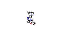 N#CC1=CC(n2c3ccccc3c3ccccc32)C(C#N)C=C1n1c2ccccc2c2c3c(ccc21)-c1ccccc1CO3